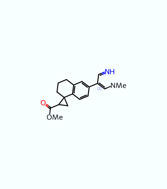 CN/C=C(\C=N)c1ccc2c(c1)CCCC21CC1C(=O)OC